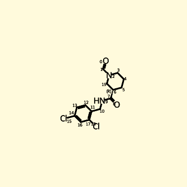 O=CN1CCC[C@@H](C(=O)NCc2ccc(Cl)cc2Cl)C1